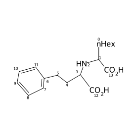 CCCCCCC(NC(CCc1ccccc1)C(=O)O)C(=O)O